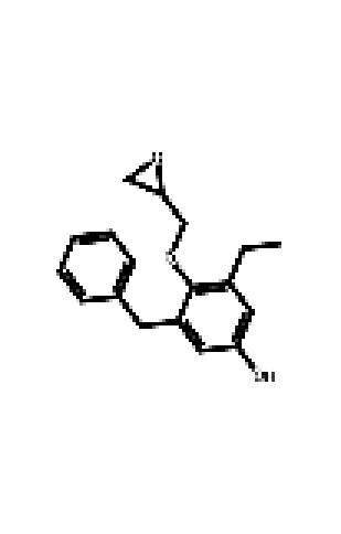 CCc1cc(O)cc(Cc2ccccc2)c1OCC1CO1